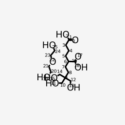 O=C(O)CCCC(CCC(CO)(CO)CO)C(=O)O.OCCOCCO